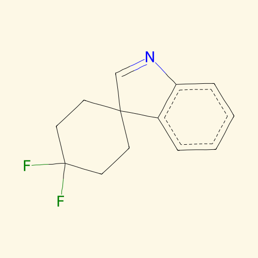 FC1(F)CCC2(C=Nc3ccccc32)CC1